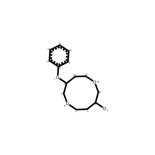 [O]C1CCOCC(Oc2[c]cccc2)CCOC1